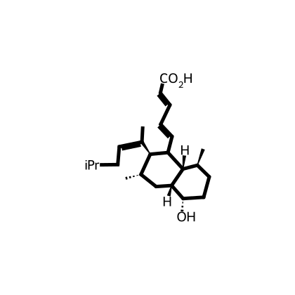 C/C(=C/CC(C)C)[C@H]1C(/C=C/C=C/C(=O)O)[C@H]2[C@@H](C[C@@H]1C)[C@@H](O)CC[C@@H]2C